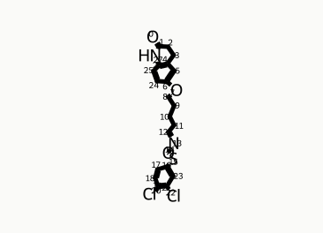 O=C1CCc2cc(OCCCCC=NOSc3ccc(Cl)c(Cl)c3)ccc2N1